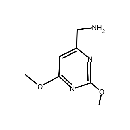 COc1cc(CN)nc(OC)n1